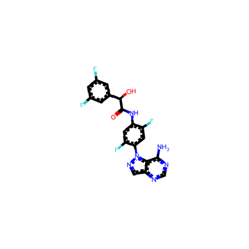 Nc1ncnc2cnn(-c3cc(F)c(NC(=O)C(O)c4cc(F)cc(F)c4)cc3F)c12